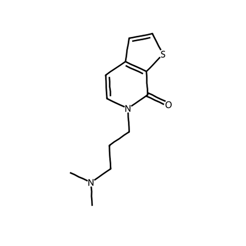 CN(C)CCCn1ccc2ccsc2c1=O